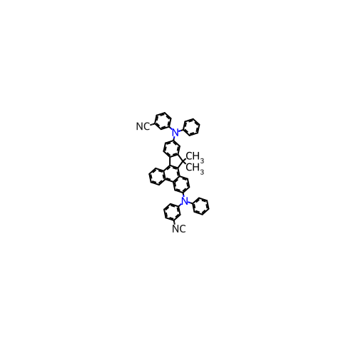 [C-]#[N+]c1cccc(N(c2ccccc2)c2ccc3c4c(c5ccccc5c3c2)-c2ccc(N(c3ccccc3)c3cccc(C#N)c3)cc2C4(C)C)c1